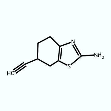 C#CC1CCc2nc(N)sc2C1